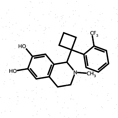 CN1CCc2cc(O)c(O)cc2C1C1(c2ccccc2C(F)(F)F)CCC1